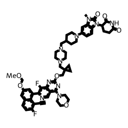 C#Cc1c(F)ccc2cc(OCOC)cc(-c3ncc4c(N5CCOCC5)nc(OCC5(CN6CCN(CC7CCN(c8ccc9c(c8)n(C)c(=O)n9C8CCC(=O)NC8=O)CC7)CC6)CC5)nc4c3F)c12